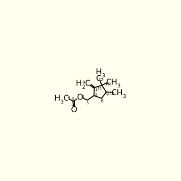 C=C1C(COC(C)=O)CC(C)C1(C)C